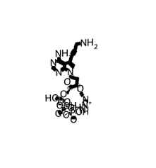 [N-]=[N+]=NCO[C@H]1C[C@H](n2cc(C#CCN)c3c(N)ncnc32)O[C@@H]1COP(=O)(O)OP(=O)(O)OP(=O)(O)O